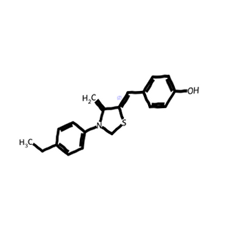 C=C1/C(=C/c2ccc(O)cc2)SCN1c1ccc(CC)cc1